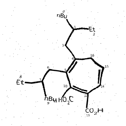 CCCCC(CC)CC1=C(CC(CC)CCCC)C(C(=O)O)=C(C(=O)O)C=CC1